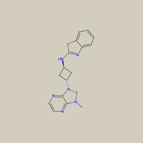 CN1SN([C@H]2C[C@H](Nc3nc4ccccc4s3)C2)c2nccnc21